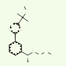 C[C@H](NSOC(C)(C)C)c1cccc(-c2noc(C(C)(C)OI)n2)c1